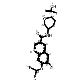 CC(C)(O)[C@@H]1CCC(NC(=O)c2cnc3cc(OC(F)F)c(Cl)cc3c2)CO1